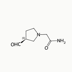 NC(=O)CN1CC[C@H](C=O)C1